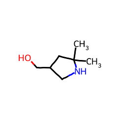 CC1(C)CC(CO)CN1